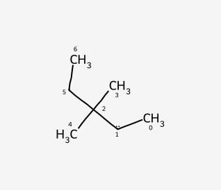 C[C]C(C)(C)CC